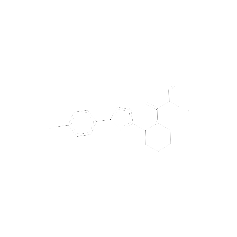 CCCc1ccc(-c2cnc(C3CCCCN3C(=O)C(C)SC)[nH]2)cc1